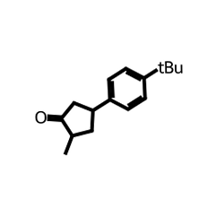 CC1CC(c2ccc(C(C)(C)C)cc2)CC1=O